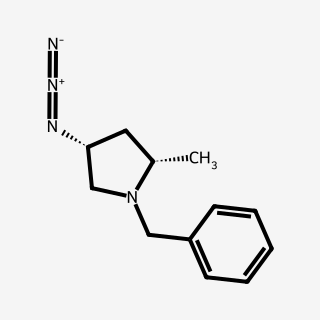 C[C@H]1C[C@@H](N=[N+]=[N-])CN1Cc1ccccc1